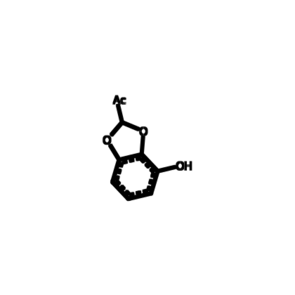 CC(=O)C1Oc2cccc(O)c2O1